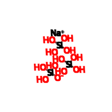 O[Si](O)(O)O.O[Si](O)(O)O.[Na+].[O-][Si](O)(O)O